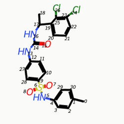 Cc1ccc(NS(=O)(=O)c2ccc(NC(=O)NC(C)c3cccc(Cl)c3Cl)cc2)cc1